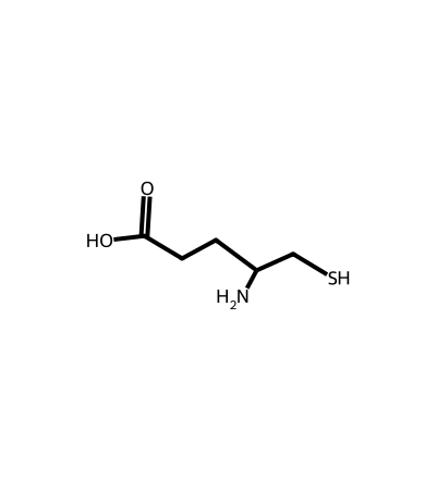 NC(CS)CCC(=O)O